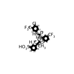 CC(Oc1ccc(C(F)(F)F)cc1NC(=O)Nc1ccc(Cl)c(C(F)(F)F)c1)C(C)(C)c1cccc(S(=O)(=O)O)c1